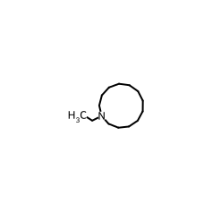 CCN1CCCCCCCCCCCC1